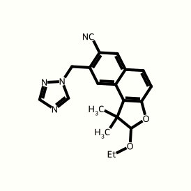 CCOC1Oc2ccc3cc(C#N)c(Cn4cncn4)cc3c2C1(C)C